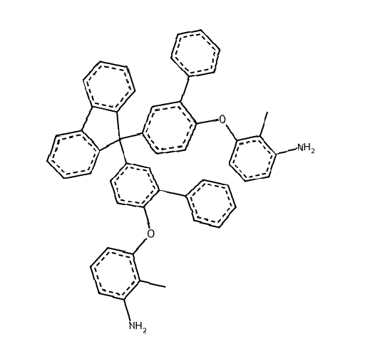 Cc1c(N)cccc1Oc1ccc(C2(c3ccc(Oc4cccc(N)c4C)c(-c4ccccc4)c3)c3ccccc3-c3ccccc32)cc1-c1ccccc1